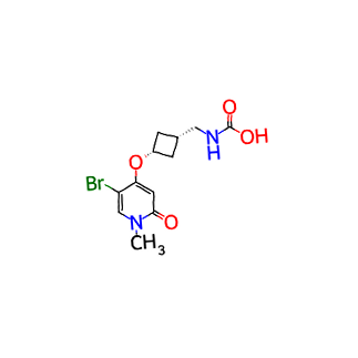 Cn1cc(Br)c(O[C@H]2C[C@@H](CNC(=O)O)C2)cc1=O